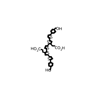 O=C(O)CCc1cc(-c2ccc(-c3ccc(CO)cc3)s2)sc1-c1ccc(-c2sc(-c3ccc(-c4ccc(CO)cc4)s3)cc2CCC(=O)O)s1